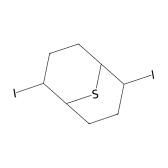 IC1CCC2SC1CCC2I